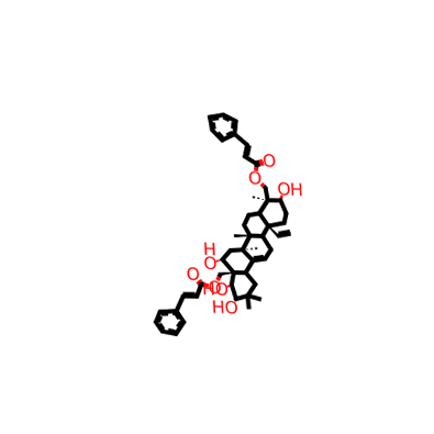 C=C[C@]12CC[C@H](O)[C@](C)(COC(=O)/C=C/c3ccccc3)C1CC[C@]1(C)C2CC=C2C3CC(C)(C)[C@@H](O)[C@H](O)[C@]3(COC(=O)/C=C/c3ccccc3)[C@H](O)C[C@]21C